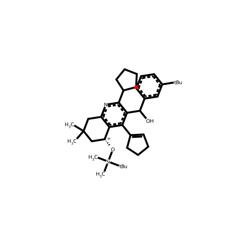 CC1(C)Cc2nc(C3CCCC3)c(C(O)c3cccc(C(C)(C)C)c3)c(C3=CCCC3)c2[C@H](O[Si](C)(C)C(C)(C)C)C1